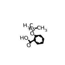 C[As](C)Oc1ccccc1C(=O)O